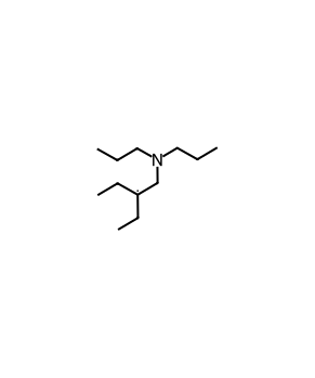 CCCN(CCC)C[C](CC)CC